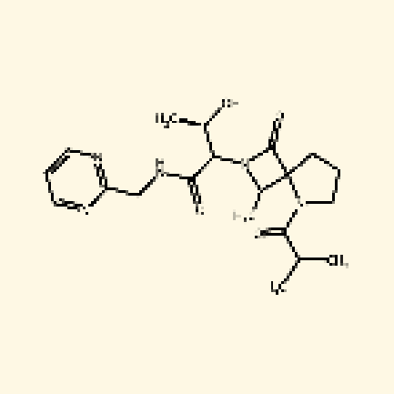 CC(C)C(=O)N1CCCC12C(=O)N(C(C(=O)NCc1ncccn1)[C@@H](C)O)C2C